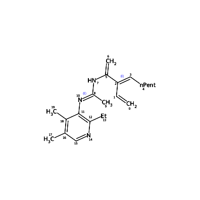 C=C/C(=C\CCCCC)C(=C)N/C(C)=N/c1c(CC)ncc(C)c1C